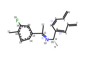 C=C/C=C\C(=C/C=C)[C@H](C)/N=C(\C)c1ccc(C)c(F)c1